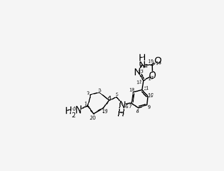 NC1CCC(CNc2cccc(-c3n[nH]c(=O)o3)c2)CC1